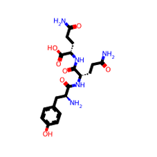 NC(=O)CC[C@H](NC(=O)[C@H](CCC(N)=O)NC(=O)[C@@H](N)Cc1ccc(O)cc1)C(=O)O